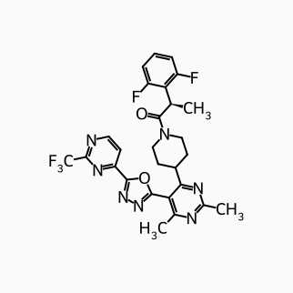 Cc1nc(C)c(-c2nnc(-c3ccnc(C(F)(F)F)n3)o2)c(C2CCN(C(=O)[C@H](C)c3c(F)cccc3F)CC2)n1